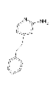 Nc1cc(CCc2ccccc2)ccn1